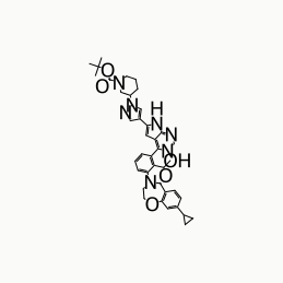 CC(C)(C)OC(=O)N1CCCC(n2cc(-c3cc4c(-c5cccc(N6CCOc7cc(C8CC8)ccc7C6=O)c5CO)ncnc4[nH]3)cn2)C1